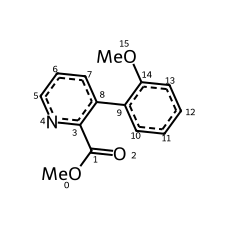 COC(=O)c1ncccc1-c1ccccc1OC